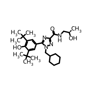 C[C@@H](O)CNC(=O)c1nc(-c2cc(C(C)(C)C)c(O)c(C(C)(C)C)c2)n(CC2CCCCC2)n1